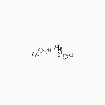 FC(F)(F)c1cccc(C2CCCN(CC(Cc3ncc(-c4cccc(Cl)c4)[nH]3)C(F)(F)F)C2)c1